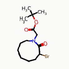 CC(C)(C)OC(=O)CN1CCCCCCC(Br)C1=O